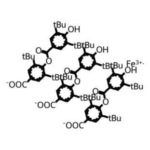 CC(C)(C)c1cc(C(=O)Oc2c(C(C)(C)C)cc(C(=O)[O-])cc2C(C)(C)C)cc(C(C)(C)C)c1O.CC(C)(C)c1cc(C(=O)Oc2c(C(C)(C)C)cc(C(=O)[O-])cc2C(C)(C)C)cc(C(C)(C)C)c1O.CC(C)(C)c1cc(C(=O)Oc2c(C(C)(C)C)cc(C(=O)[O-])cc2C(C)(C)C)cc(C(C)(C)C)c1O.[Fe+3]